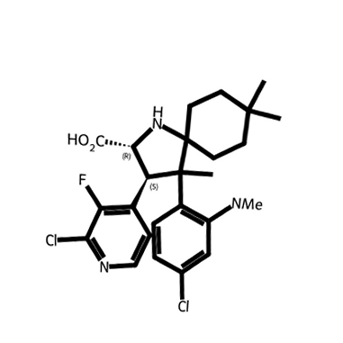 CNc1cc(Cl)ccc1C1(C)[C@@H](c2ccnc(Cl)c2F)[C@H](C(=O)O)NC12CCC(C)(C)CC2